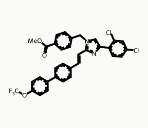 COC(=O)c1ccc(Cn2cc(-c3ccc(Cl)cc3Cl)nc2C=Cc2ccc(-c3ccc(OC(F)(F)F)cc3)cc2)cc1